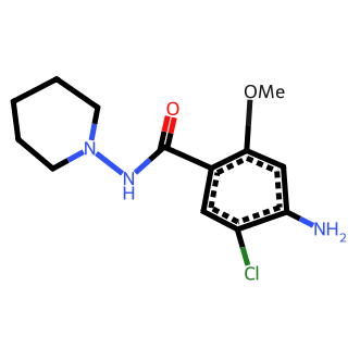 COc1cc(N)c(Cl)cc1C(=O)NN1CCCCC1